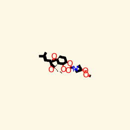 COOC1CN(C(=O)O[C@@H]2CC[C@]3(CO3)[C@@H]([C@@]3(C)OC3CC=C(C)C)[C@@H]2OC)C1